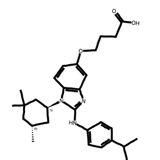 CC(C)c1ccc(Nc2nc3cc(OCCCC(=O)O)ccc3n2[C@H]2C[C@H](C)CC(C)(C)C2)cc1